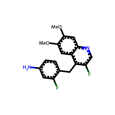 COc1cc2ncc(F)c(Cc3ccc(N)cc3F)c2cc1OC